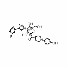 O=C([C@@H]1O[C@H](CO)[C@H](O)[C@H](n2cc(-c3cccc(F)c3)nn2)[C@H]1O)N1CCN(c2ccc(O)cc2)CC1